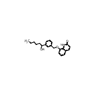 CCCCCC(O)c1cccc(COc2cccc3ccc(=O)[nH]c23)c1